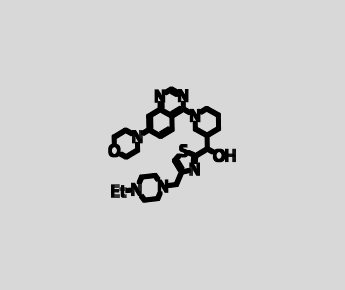 CCN1CCN(Cc2csc(C(O)C3CCCN(c4ncnc5cc(N6CCOCC6)ccc45)C3)n2)CC1